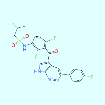 CC(C)CS(=O)(=O)Nc1ccc(F)c(C(=O)c2c[nH]c3ncc(-c4ccc(F)cc4)cc23)c1F